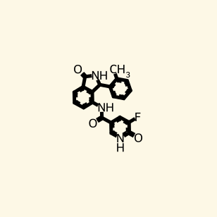 Cc1ccccc1C1NC(=O)c2cccc(NC(=O)c3c[nH]c(=O)c(F)c3)c21